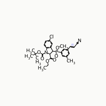 CCOC(=O)C1C(P(=O)(OC)c2cc(C)cc(/C=C/C#N)c2)c2cc(Cl)ccc2N1C(=O)OC(C)(C)C